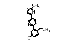 CCc1ccc(C)cc1-c1ccc(-c2csc(C)n2)cn1